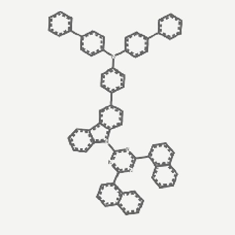 c1ccc(-c2ccc(N(c3ccc(-c4ccccc4)cc3)c3ccc(-c4ccc5c(c4)c4ccccc4n5-c4nc(-c5cccc6ccccc56)nc(-c5cccc6ccccc56)n4)cc3)cc2)cc1